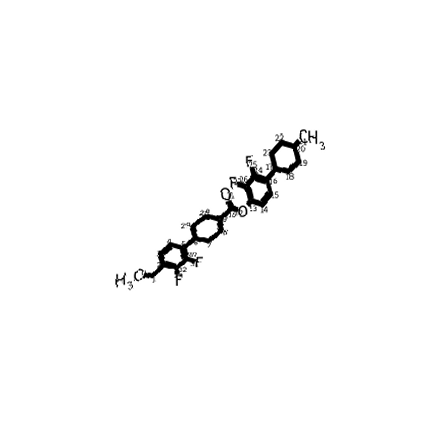 CCc1ccc(C2CCC(C(=O)Oc3ccc(C4CCC(C)CC4)c(F)c3F)CC2)c(F)c1F